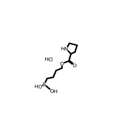 Cl.O=C(OCCCCB(O)O)C1CCCN1